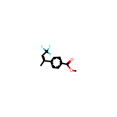 COC(=O)c1ccc(/C(C)=C\C(F)(F)F)cc1